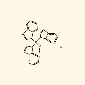 CO[Si](C1C=Cc2ccccc21)(C1C=Cc2ccccc21)C1C=Cc2ccccc21.[Li]